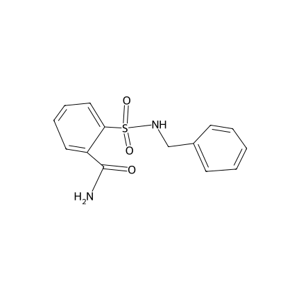 NC(=O)c1ccccc1S(=O)(=O)NCc1ccccc1